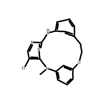 CN1c2cccc(c2)OCCc2cccc(c2)Nc2ncc(Cl)c1n2